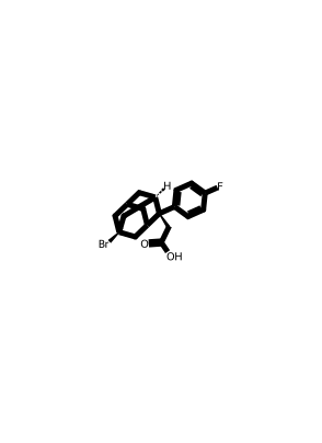 O=C(O)C[C@@]1(c2ccc(F)cc2)C2CC3C[C@@H]1C[C@@](Br)(C3)C2